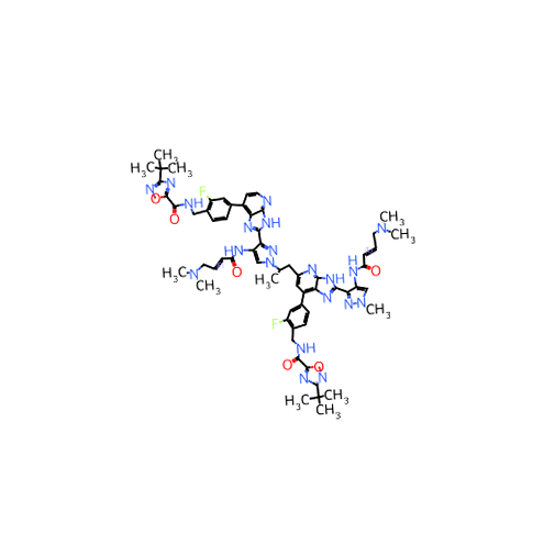 CC(Cc1cc(-c2ccc(CNC(=O)c3nc(C(C)(C)C)no3)c(F)c2)c2nc(-c3nn(C)cc3NC(=O)/C=C/CN(C)C)[nH]c2n1)n1cc(NC(=O)/C=C/CN(C)C)c(-c2nc3c(-c4ccc(CNC(=O)c5nc(C(C)(C)C)no5)c(F)c4)ccnc3[nH]2)n1